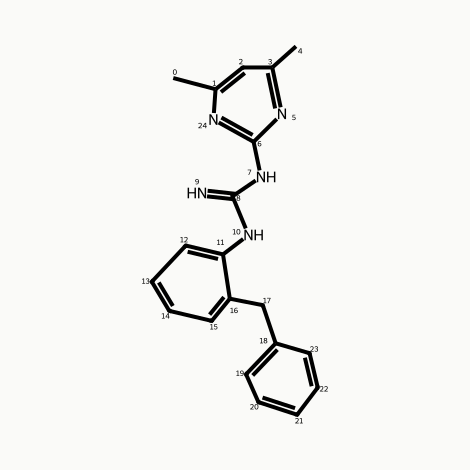 Cc1cc(C)nc(NC(=N)Nc2ccccc2Cc2ccccc2)n1